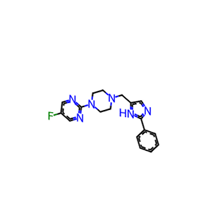 Fc1cnc(N2CCN(Cc3cnc(-c4ccccc4)[nH]3)CC2)nc1